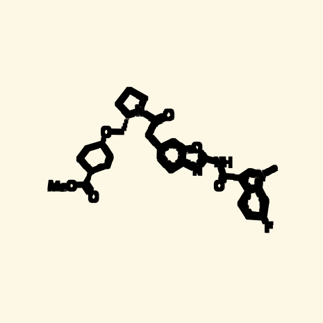 COC(=O)[C@H]1CC[C@H](OC[C@@H]2CCCN2C(=O)Cc2ccc3nc(NC(=O)c4cn(C)c5cc(F)ccc45)oc3c2)CC1